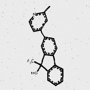 Cc1cc(-c2ccc3c(c2)C(O)(C(F)(F)F)c2ccccc2-3)ccn1